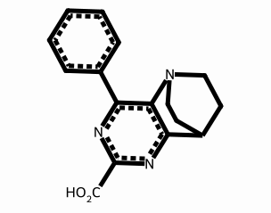 O=C(O)c1nc(-c2ccccc2)c2c(n1)C1CCN2CC1